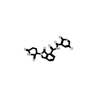 O=C1CCC(N2Cc3cccc(C(=O)NC(=O)c4cc(Cl)cnc4Cl)c3C2=O)C(=O)N1